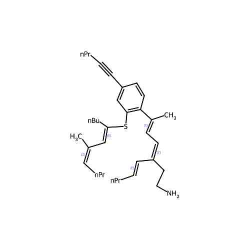 CCCC#Cc1ccc(/C(C)=C/C=C(\C=C\CCC)CCN)c(S/C(=C/C(C)=C\CCC)CCCC)c1